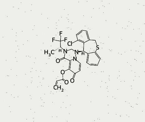 C=CC(=O)Oc1c2n(ccc1=O)N([C@@H]1c3ccccc3SCc3cccc(Cl)c31)CN([C@H](C)C(F)(F)F)C2=O